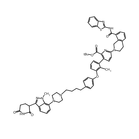 Cc1c(Oc2ccc(CCCCN3CCN(c4cccc5c(C6CCC(=O)NC6=O)nn(C)c45)CC3)cc2)cccc1-c1ccc(N2CCc3cccc(C(=O)Nc4nc5ccccc5s4)c3C2)nc1C(=O)OC(C)(C)C